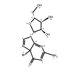 NC1=NC(=O)C2(Br)N=CN([C@@H]3O[C@H](CO)[C@@H](O)[C@H]3O)C2=N1